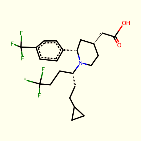 O=C(O)C[C@@H]1CCN([C@H](CCC2CC2)CCC(F)(F)F)[C@H](c2ccc(C(F)(F)F)cc2)C1